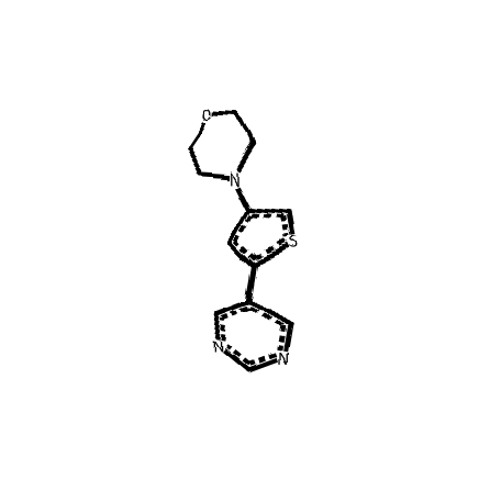 c1ncc(-c2cc(N3CCOCC3)cs2)cn1